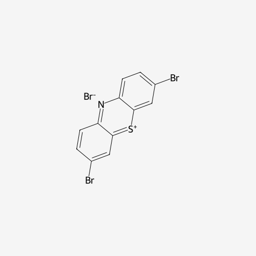 Brc1ccc2nc3ccc(Br)cc3[s+]c2c1.[Br-]